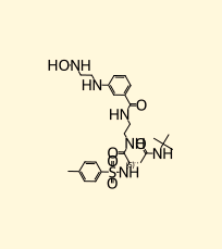 Cc1ccc(S(=O)(=O)N[C@@H](CC(=O)NC(C)(C)C)C(=O)NCCNC(=O)c2cccc(NCCNO)c2)cc1